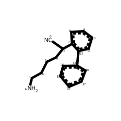 N#CC(CCCCN)c1ccccc1-c1ccccc1